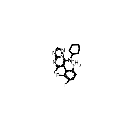 CN(c1c(-c2c(F)ccc(F)c2F)c(Cl)nc2ncnn12)C1CCCCC1